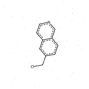 ClCc1ccc2cnccc2c1